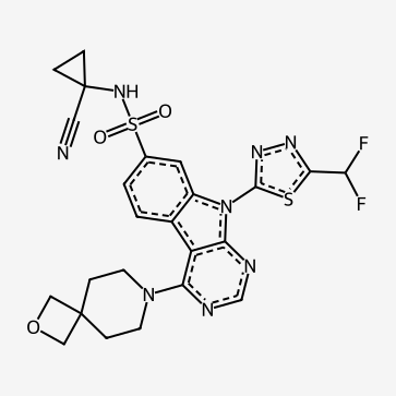 N#CC1(NS(=O)(=O)c2ccc3c4c(N5CCC6(CC5)COC6)ncnc4n(-c4nnc(C(F)F)s4)c3c2)CC1